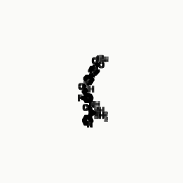 BC1(B)C(C(=O)Nc2ccc(CNC(=O)N3CCC(N4CCN(C(=O)OC(C)(C)C)CC4)CC3)c(F)c2)C1c1cccnc1